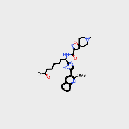 CCC(=O)CCCCCC(NC(=O)C1=NOC2(CCN(C)CC2)C1)c1ncc(-c2cc3ccccc3nc2OC)[nH]1